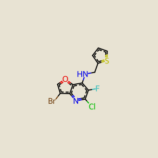 Fc1c(Cl)nc2c(Br)coc2c1NCc1cccs1